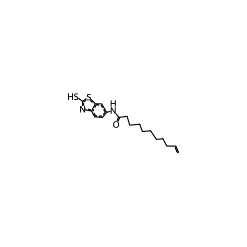 C=CCCCCCCCCC(=O)Nc1ccc2nc(S)sc2c1